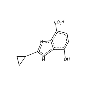 O=C(O)c1ccc(O)c2[nH]c(C3CC3)nc12